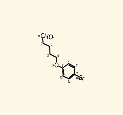 O=[C]CCCCOc1ccc(Br)cc1